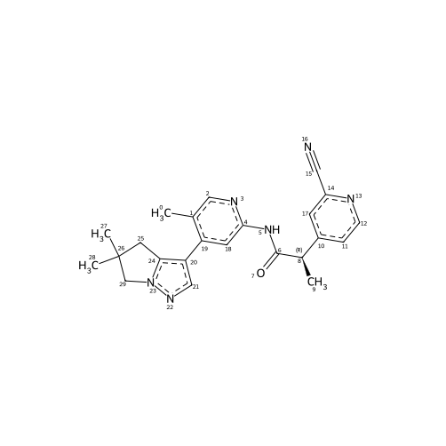 Cc1cnc(NC(=O)[C@H](C)c2ccnc(C#N)c2)cc1-c1cnn2c1CC(C)(C)C2